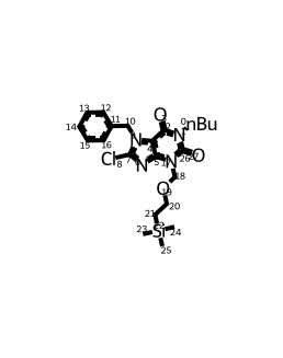 CCCCn1c(=O)c2c(nc(Cl)n2Cc2ccccc2)n(COCC[Si](C)(C)C)c1=O